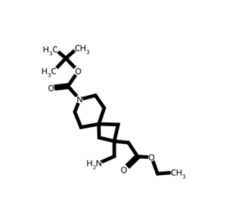 CCOC(=O)CC1(CN)CC2(CCN(C(=O)OC(C)(C)C)CC2)C1